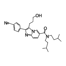 CC(C)CCN(CCC(C)C)C(=O)c1ccc2nc(-c3ccc(C#N)cc3)c(CCCO)n2c1